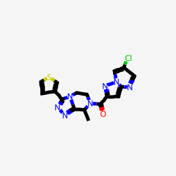 CC1c2nnc(-c3ccsc3)n2CCN1C(=O)c1cc2ncc(Cl)cn2n1